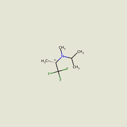 CC(C)N(C)[C@@H](C)C(F)(F)F